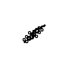 CCCC(=O)OC1C=C2CC34SSC5(CC6=CC(OC(C)=O)C7OC7C6N5C3=O)C(=O)N4C2C2OC12